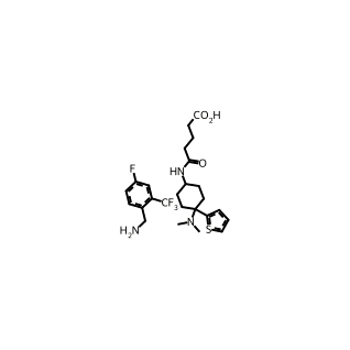 CN(C)C1(c2cccs2)CCC(NC(=O)CCCC(=O)O)CC1.NCc1ccc(F)cc1C(F)(F)F